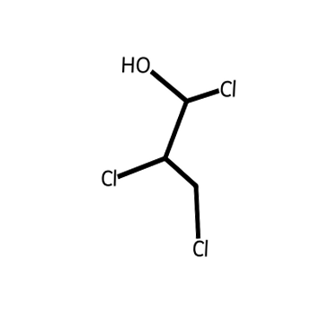 OC(Cl)C(Cl)CCl